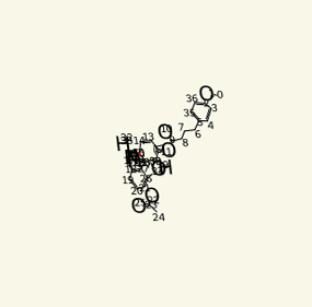 COc1ccc(CCCC(=O)O[C@H]2C=C[C@H]3[C@H]4Cc5ccc(OC(C)=O)c6c5[C@@]3(CCN4C)[C@H]2O6)cc1